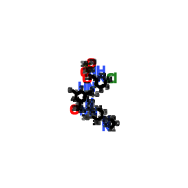 Cc1cc([C@@H](C)Nc2ccc(Cl)nc2C(=O)NS(C)(=O)=O)c2nc(N3CCC(n4cccn4)CC3)n(C)c(=O)c2c1